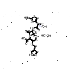 Cl.Cl.Nc1nc(/C(=N/O)C(=O)N[C@@H]2C(=O)N3C(C(=O)O)=C(SCc4cn[nH]c4)CS[C@H]23)cs1